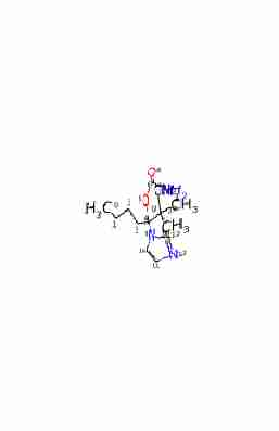 CCCCC(OC(N)=O)(n1ccnc1)C(C)(C)C